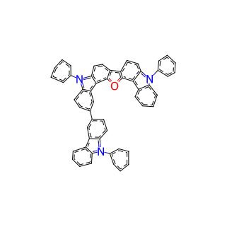 c1ccc(-n2c3ccccc3c3cc(-c4ccc5c(c4)c4c6oc7c(ccc8c7c7ccccc7n8-c7ccccc7)c6ccc4n5-c4ccccc4)ccc32)cc1